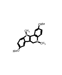 COc1ccc2c(c1)-c1c(c3cc(OC)ccc3n1C)CN2C